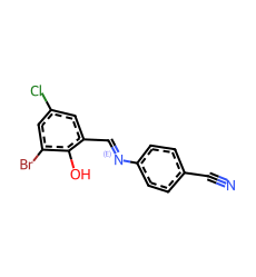 N#Cc1ccc(/N=C/c2cc(Cl)cc(Br)c2O)cc1